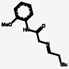 COc1ccccc1NC(=O)C/N=C/CC(C)(C)C